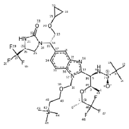 C[C@H](O[C@H](C)[C@H](N[S@+]([O-])C(C)(C)C)c1nc2cc([C@@H](COC3CC3)N3C[C@@H](C(F)(F)F)NC3=O)ccc2n1COCC[Si](C)(C)C)C(F)(F)F